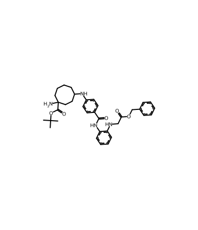 CC(C)(C)OC(=O)C1(N)CCCCC(Nc2ccc(C(=O)Nc3ccccc3NCC(=O)OCc3ccccc3)cc2)CC1